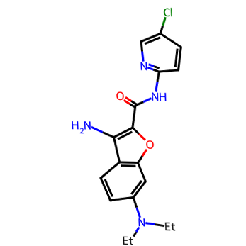 CCN(CC)c1ccc2c(N)c(C(=O)Nc3ccc(Cl)cn3)oc2c1